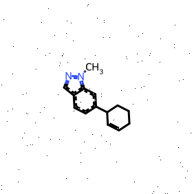 Cn1ncc2ccc(C3C=CCCC3)cc21